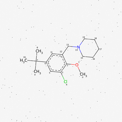 COc1c(Cl)cc(C(C)(C)C)cc1CN1CCCCC1